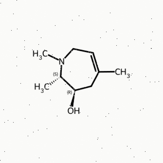 CC1=CCN(C)[C@@H](C)[C@H](O)C1